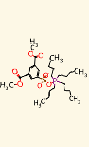 CCCCP(CCCC)(CCCC)(CCCC)OS(=O)(=O)c1cc(C(=O)OC)cc(C(=O)OC)c1